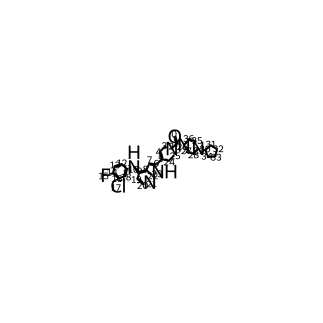 O=C(N1CC=C(c2cc3c(Nc4ccc(F)c(Cl)c4)ccnc3[nH]2)CC1)N1CCN(C2CCCC2)CC1